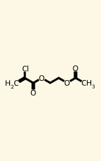 C=C(Cl)C(=O)OCCOC(C)=O